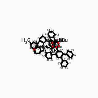 CC1(S)C=CC=C(c2cccc(-c3cc(C(C)(C)C)cc(C(C)(C)C)c3)c2[N+]23c4ccccc4[N+]24c2cccc5c2[N+]2(c6c(ccc7c8ccccc8n(c67)-c6cc(C(C)(C)C)cc[n+]62)-c2cc(-c6ccccc6)c(-c6ccccc6)cc2-5)C43)C1